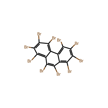 Brc1c(Br)c(Br)c2c(c1Br)c(Br)c(Br)c1c(Br)c(Br)c(Br)c(Br)c12